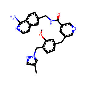 COc1cc(Cc2cncc(C(=O)NCc3ccc4c(N)nccc4c3)c2)ccc1Cn1cc(C)cn1